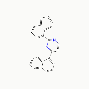 c1ccc2c(-c3ccnc(-c4cccc5ccccc45)n3)cccc2c1